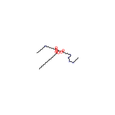 CCCCC/C=C\C/C=C\C/C=C\C/C=C\CCCCCC(=O)OC[C@@H](COC(=O)CCCCCCC/C=C\CCCCCCCC)OC(=O)CCCCCCCCCCCCCCCCCCC